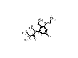 CCSc1cc(F)cc(N(N)C(=O)N(C)N)c1CO